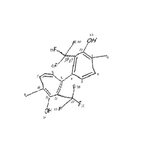 Cc1ccc(-c2ccc(C)c(O)c2C(F)(F)F)c(C(F)(F)F)c1O